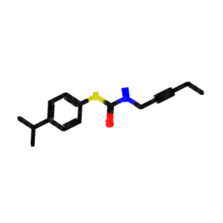 CCC#CCNC(=O)Sc1ccc(C(C)C)cc1